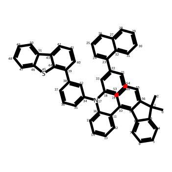 CC1(C)c2ccccc2-c2c(-c3ccccc3N(c3cccc(-c4cccc5ccccc45)c3)c3cccc(-c4cccc5c4sc4ccccc45)c3)cccc21